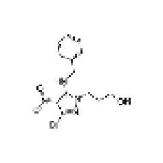 O=[N+]([O-])c1c(Br)nn(CCCO)c1NCc1ccccc1